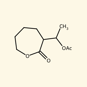 CC(=O)OC(C)C1CCCCOC1=O